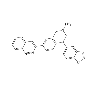 CN1Cc2cc(-c3cc4ccccc4nn3)ccc2C(c2ccc3occc3c2)C1